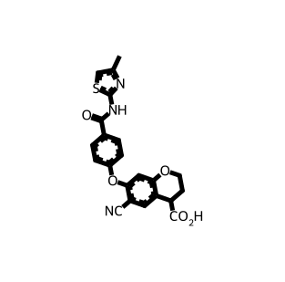 Cc1csc(NC(=O)c2ccc(Oc3cc4c(cc3C#N)C(C(=O)O)CCO4)cc2)n1